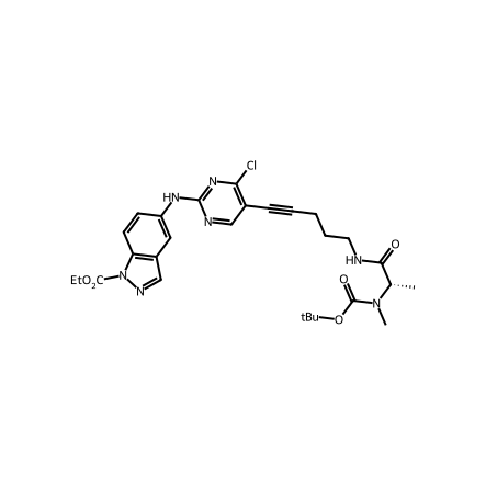 CCOC(=O)n1ncc2cc(Nc3ncc(C#CCCCNC(=O)[C@H](C)N(C)C(=O)OC(C)(C)C)c(Cl)n3)ccc21